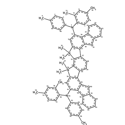 Cc1ccc(N(c2ccc(C)cc2C)c2cc3c(c4oc5ccccc5c24)-c2ccc4c(c2[Si]3(C)C)[Si](C)(C)c2cc(N(c3ccc(C)cc3)c3ccc(C)cc3C)c3c(oc5ccccc53)c2-4)cc1